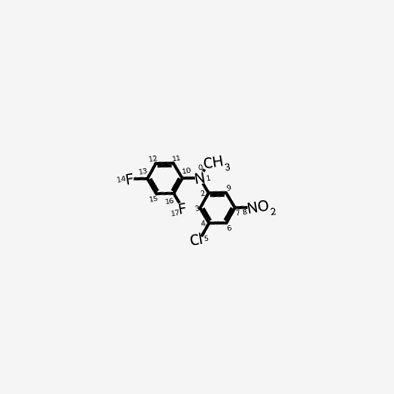 CN(c1cc(Cl)cc([N+](=O)[O-])c1)c1ccc(F)cc1F